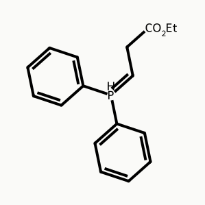 CCOC(=O)CC=[PH](c1ccccc1)c1ccccc1